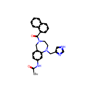 CC(C)(C)C(=O)Nc1ccc2c(c1)N(Cc1c[nH]cn1)CCN(C(=O)c1cccc3ccccc13)C2